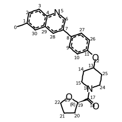 Cc1ccc2ncc(-c3ccc(OC4CCN(C(=O)[C@H]5CCCO5)CC4)cc3)cc2c1